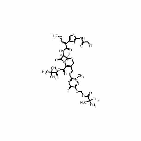 CON=C(C(=O)N[C@@H]1C(=O)N2C(C(=O)OC(=O)C(C)(C)C)=C(CSc3nc(=O)c(OCOC(=O)C(C)(C)C)nn3C)CS[C@H]12)c1csc(NC(=O)CCl)n1